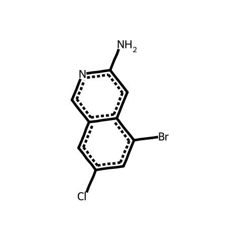 Nc1cc2c(Br)cc(Cl)cc2cn1